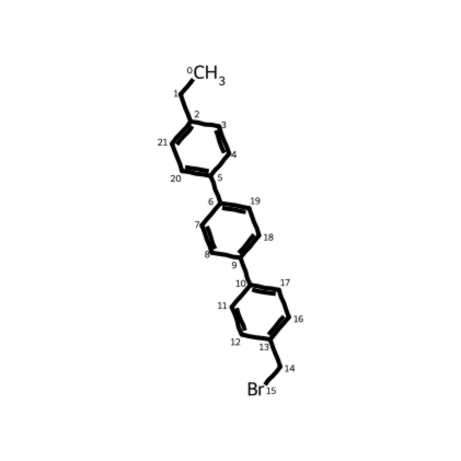 CCc1ccc(-c2ccc(-c3ccc(CBr)cc3)cc2)cc1